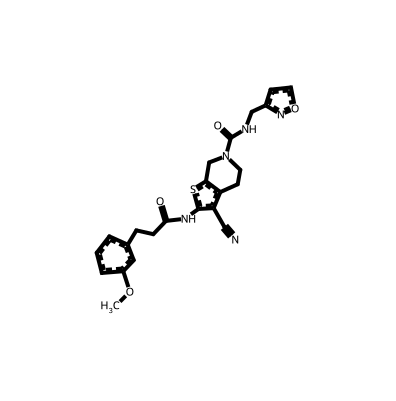 COc1cccc(CCC(=O)Nc2sc3c(c2C#N)CCN(C(=O)NCc2ccon2)C3)c1